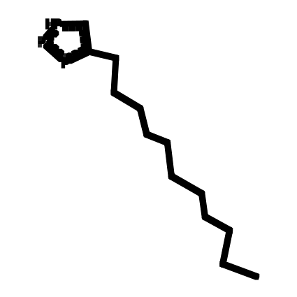 CCCCCCCCCCCc1c[pH]pp1